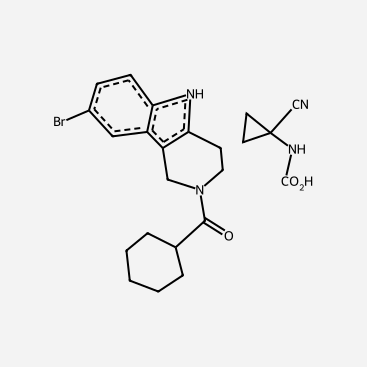 N#CC1(NC(=O)O)CC1.O=C(C1CCCCC1)N1CCc2[nH]c3ccc(Br)cc3c2C1